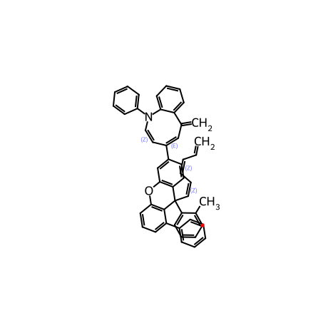 C=C/C=C\C=C/C1(c2ccccc2C)c2ccc(C3=C/C(=C)c4ccccc4N(c4ccccc4)/C=C\3)cc2Oc2cccc(-c3ccccc3)c21